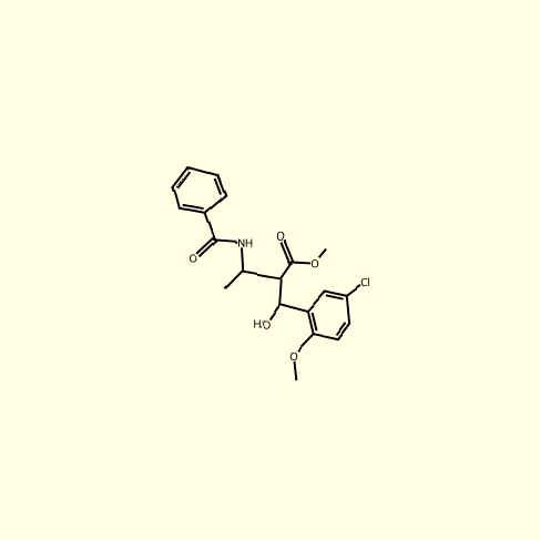 COC(=O)C(C(C)NC(=O)c1ccccc1)C(O)c1cc(Cl)ccc1OC